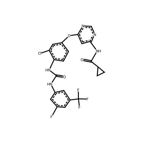 O=C(Nc1cc(F)cc(C(F)(F)F)c1)Nc1ccc(Oc2cc(NC(=O)C3CC3)ncn2)cc1Cl